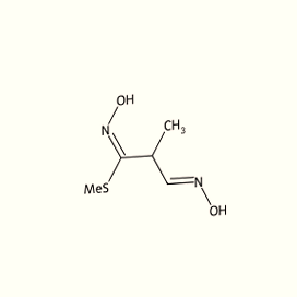 CSC(=NO)C(C)C=NO